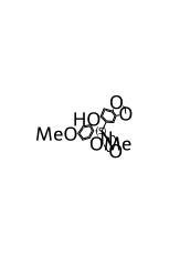 COc1ccc([C@H](c2cc3c(cc2O)OCO3)N2CCOCC2)c(OC)c1